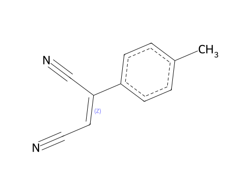 Cc1ccc(/C(C#N)=C/C#N)cc1